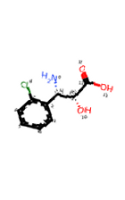 N[C@@H](c1ccccc1Cl)[C@@H](O)C(=O)O